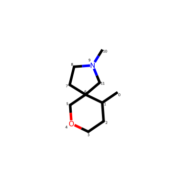 CC1CCOCC12CCN(C)C2